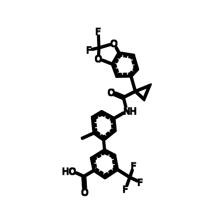 Cc1ccc(NC(=O)C2(c3ccc4c(c3)OC(F)(F)O4)CC2)cc1-c1cc(C(=O)O)cc(C(F)(F)F)c1